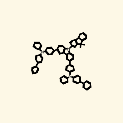 CC1(C)C2=CC=CCC2c2ccc(-n3c4ccc(-c5ccc(N(c6ccccc6)c6ccc(-c7ccccc7)cc6)cc5)cc4c4cc(-c5ccc(N(c6ccccc6)c6ccc(-c7ccccc7)cc6)cc5)ccc43)cc21